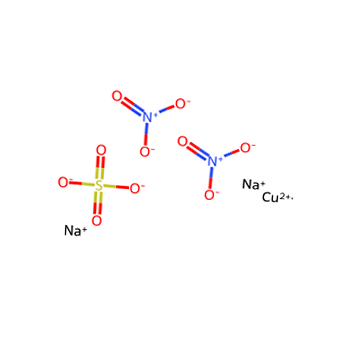 O=S(=O)([O-])[O-].O=[N+]([O-])[O-].O=[N+]([O-])[O-].[Cu+2].[Na+].[Na+]